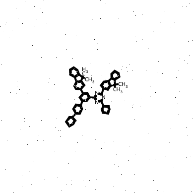 CC1(C)c2ccccc2-c2ccc(-c3cc(-c4ccc(-c5ccccc5)cc4)cc(-c4nc(-c5ccccc5)nc(-c5ccc6c(c5)C(C)(C)c5ccccc5-6)n4)c3)cc21